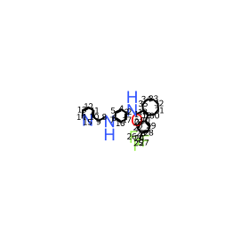 O=C(Nc1ccc(NCCc2ccccn2)cc1)/C1=C(\c2ccc(C(F)(F)F)cc2)CCCCCC1